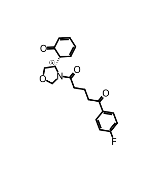 O=C(CCCC(=O)N1COC[C@@H]1C1C=CC=CC1=O)c1ccc(F)cc1